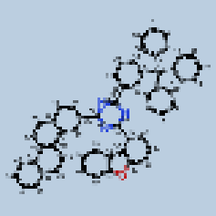 c1ccc([Si](c2ccccc2)(c2ccccc2)c2cccc(-c3nc(-c4ccc5ccc6c7ccccc7ccc6c5c4)nc(-c4cccc5oc6ccccc6c45)n3)c2)cc1